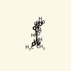 Cc1ccc2nc(NCCNC(=O)CNc3cccc4c3C(=O)N(C3CCC(=O)NC3=O)C4=O)c3ncc(C)n3c2c1